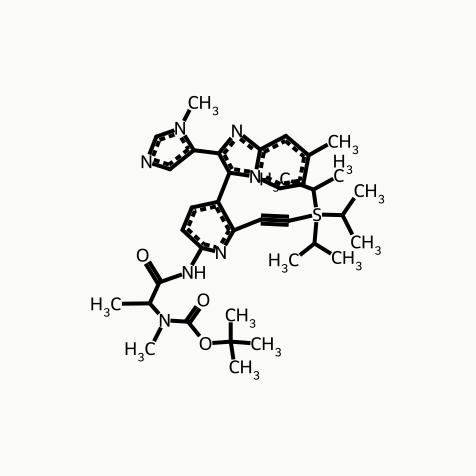 Cc1ccn2c(-c3ccc(NC(=O)C(C)N(C)C(=O)OC(C)(C)C)nc3C#CS(C(C)C)(C(C)C)C(C)C)c(-c3cncn3C)nc2c1